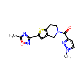 Cn1ccc(C(=O)N2CCc3sc(-c4noc(C(F)(F)F)n4)cc3C2)n1